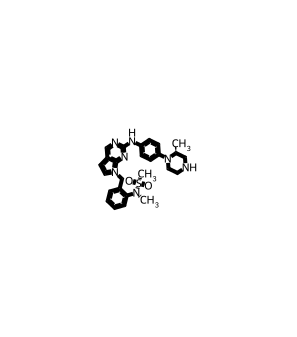 C[C@@H]1CNCCN1c1ccc(Nc2ncc3ccn(Cc4ccccc4N(C)S(C)(=O)=O)c3n2)cc1